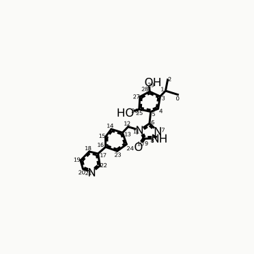 CC(C)c1cc(-c2n[nH]c(=O)n2Cc2ccc(-c3cccnc3)cc2)c(O)cc1O